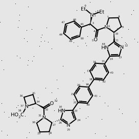 CCN(CC)[C@@H](C(=O)N1CCC[C@H]1c1ncc(-c2ccc(-c3ccc(-c4cnc([C@@H]5CCCN5C(=O)[C@@H]5CCN5C(=O)O)[nH]4)cc3)cc2)[nH]1)c1ccccc1